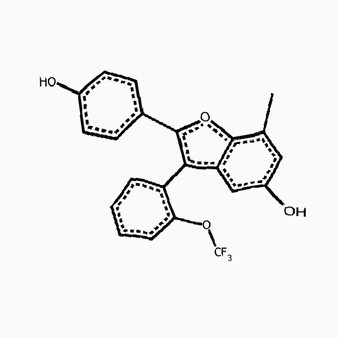 Cc1cc(O)cc2c(-c3ccccc3OC(F)(F)F)c(-c3ccc(O)cc3)oc12